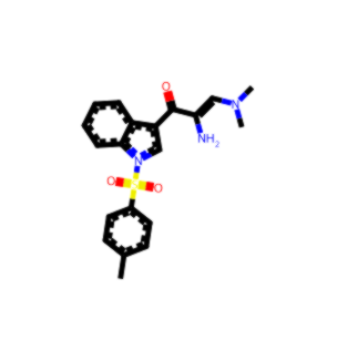 Cc1ccc(S(=O)(=O)n2cc(C(=O)C(N)=CN(C)C)c3ccccc32)cc1